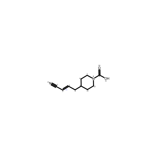 N#C/C=C/CC1CCN(C(=O)O)CC1